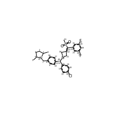 CC1CCC(C)N1Cc1ccc([C@H](c2ccc(Cl)cc2)N2CC(=C(c3cc(F)cc(F)c3)S(C)(=O)=O)C2)cc1